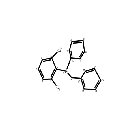 Clc1cccc(Cl)c1N(Cc1ccccc1)c1[c]cccc1